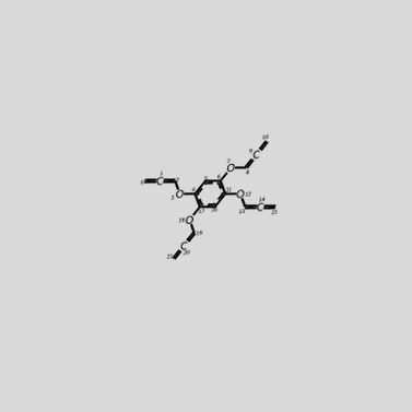 C=C=COc1cc(OC=C=C)c(OC=C=C)cc1OC=C=C